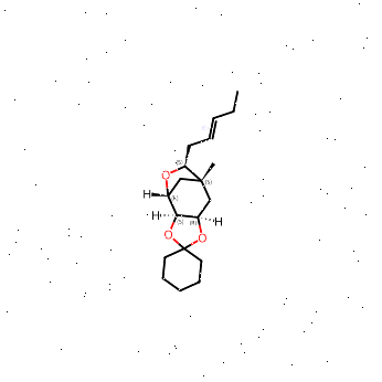 CC/C=C/C[C@@H]1O[C@@H]2C[C@@]1(C)C[C@H]1OC3(CCCCC3)O[C@@H]21